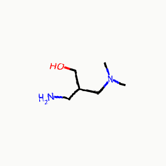 CN(C)CC(CN)CO